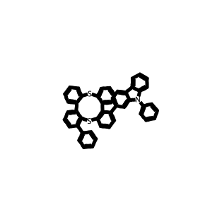 c1ccc(-c2cccc3c2Sc2cccc(-c4ccc5c6ccccc6n(-c6ccccc6)c5c4)c2-c2ccccc2Sc2ccccc2-3)cc1